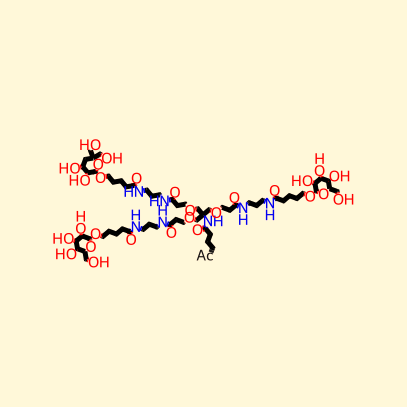 CC(=O)CCCC(=O)NC(COCCC(=O)NCCCNC(=O)CCCCO[C@@H]1OC(CO)(CO)CC(O)C1O)(COCCC(=O)NCCCNC(=O)CCCCO[C@@H]1OC(CO)[C@@H](O)C(O)C1O)COCCC(=O)NCCCNC(=O)CCCCO[C@@H]1OC(CO)[C@@H](O)C(O)C1O